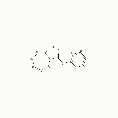 Cl.c1ccc(CNC2CCCCCC2)cc1